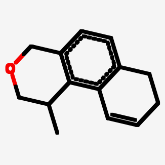 CC1COCc2ccc3c(c21)C=CCC3